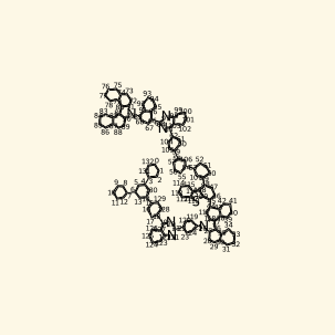 c1ccc(-c2cc(-c3ccccc3)cc(-c3ccc(-c4nc(-c5ccc(-n6c7ccc8ccccc8c7c7c8ccccc8c(-c8ccc(-c9cccc(-c%10cccc(-c%11ccc(-c%12nc(-c%13ccc(-n%14c%15ccc%16ccccc%16c%15c%15c%16ccccc%16ccc%15%14)c%14ccccc%13%14)nc%13ccccc%12%13)cc%11)c%10)c9)c9c8sc8ccccc89)cc76)cc5)nc5ccccc45)cc3)c2)cc1